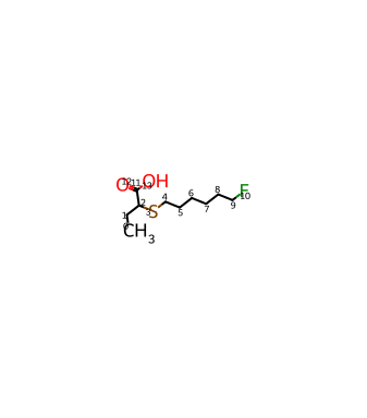 CCC(SCCCCCCF)C(=O)O